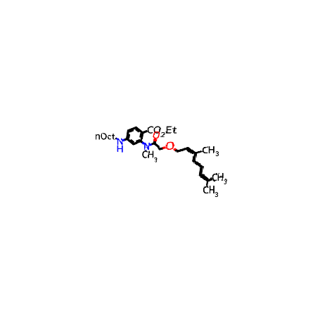 CCCCCCCCNc1ccc(C(=O)OCC)c(N(C)C(=O)COCC=C(C)CCC=C(C)C)c1